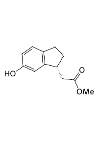 COC(=O)C[C@H]1CCc2ccc(O)cc21